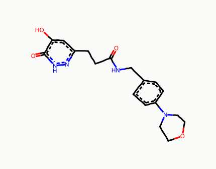 O=C(CCc1cc(O)c(=O)[nH]n1)NCc1ccc(N2CCOCC2)cc1